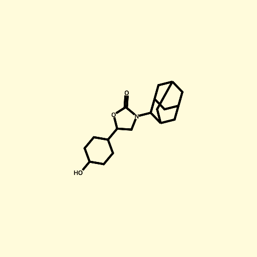 O=C1OC(C2CCC(O)CC2)CN1C1C2CC3CC(C2)CC1C3